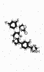 O=C1OC[C@@H](c2ccc(F)cc2F)N1c1ccn2ncc(-c3ccc(-c4nc[nH]n4)c(F)c3)c2n1